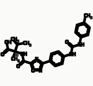 Cc1ccc(NC(=O)Nc2ccc(-c3noc(C(=O)N[C@](C)(C(=O)O)C(C)C)n3)cc2)cc1